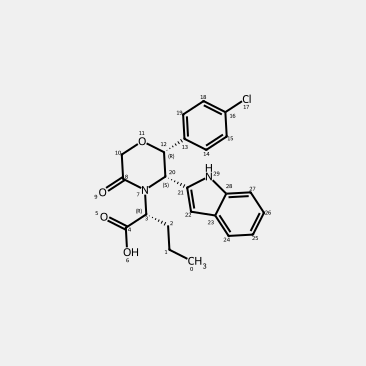 CCC[C@H](C(=O)O)N1C(=O)CO[C@H](c2ccc(Cl)cc2)[C@@H]1c1cc2ccccc2[nH]1